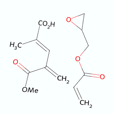 C=C(C=C(C)C(=O)O)C(=O)OC.C=CC(=O)OCC1CO1